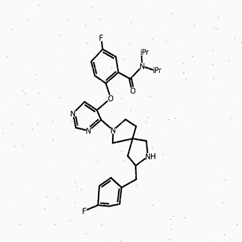 CC(C)N(C(=O)c1cc(F)ccc1Oc1cncnc1N1CCC2(CNC(Cc3ccc(F)cc3)C2)C1)C(C)C